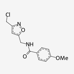 COc1ccc(C(=O)NCc2cc(CCl)no2)cc1